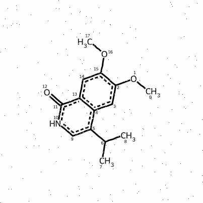 COc1cc2c(C(C)C)c[nH]c(=O)c2cc1OC